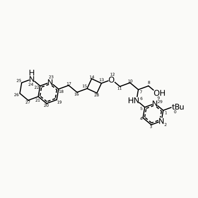 CC(C)(C)c1nccc(NC(CO)CCOC2CC(CCc3ccc4c(n3)NCCC4)C2)n1